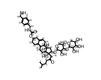 CC(C)CCC(=O)[C@@H](C)[C@@]1(O)[C@@H](OC2OCC(O)C(OC3OCC(O)C(O)C3O)C2O)C[C@H]2[C@@H]3CC=C4C[C@@H](OC(=O)NCc5ccc(CN)cc5)CC[C@]4(C)C3CC[C@@]21C